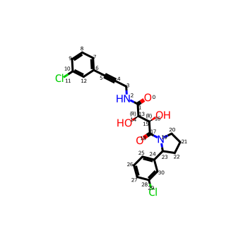 O=C(NCC#Cc1cccc(Cl)c1)[C@H](O)[C@@H](O)C(=O)N1CCCC1c1cccc(Cl)c1